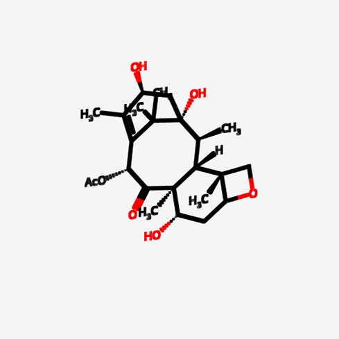 CC(=O)O[C@H]1C(=O)[C@]2(C)[C@@H](O)CC3OC[C@@]3(C)[C@H]2[C@H](C)[C@]2(O)C[C@H](O)C(C)=C1C2(C)C